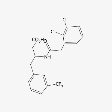 O=C(O)CC(Cc1cccc(C(F)(F)F)c1)NC(=O)Cc1cccc(Cl)c1Cl